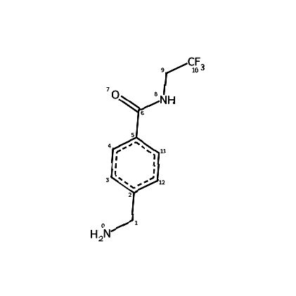 NCc1ccc(C(=O)NCC(F)(F)F)cc1